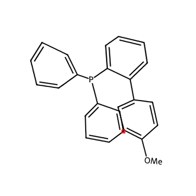 COc1ccc(-c2ccccc2P(c2ccccc2)c2ccccc2)cc1